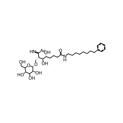 CC(=O)C(=N)[C@@H](CO[C@H]1OC(CO)[C@H](O)C(O)[C@@H]1O)[C@H](O)[C@H](O)CCCC(=O)NCCCCCCCCc1ccccc1